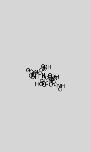 COc1ccc(N=Nc2ccc(N=Nc3cc(OC)c(N=Nc4c(S(=O)(=O)O)cc5cc(Nc6ccccc6)ccc5c4O)c4ccc(S(=O)(=O)O)cc34)c3cc(S(=O)(=O)O)ccc23)c(S(=O)(=O)O)c1